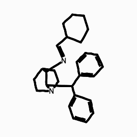 C(=NC1C2CCN(CC2)C1C(c1ccccc1)c1ccccc1)C1CCCCC1